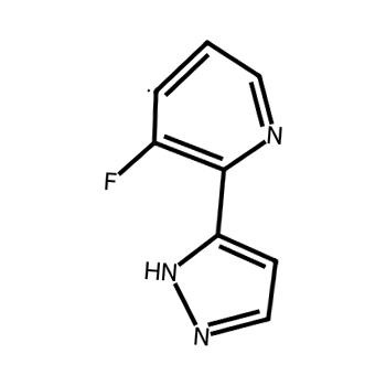 Fc1[c]ccnc1-c1ccn[nH]1